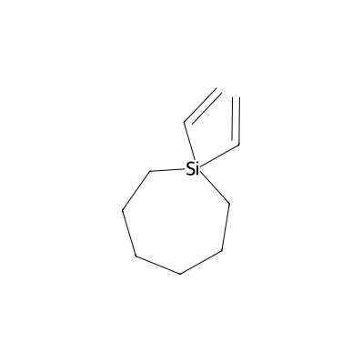 C=C[Si]1(C=C)CCCCCC1